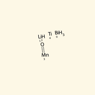 [BiH3].[LiH].[O]=[Mn].[Ti]